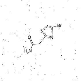 NC(=O)Cc1nc(Br)cs1